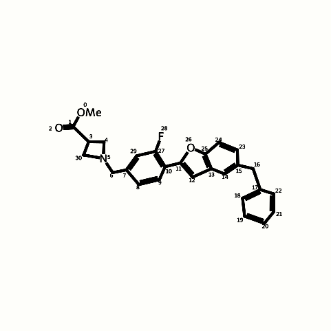 COC(=O)C1CN(Cc2ccc(-c3cc4cc(Cc5ccccc5)ccc4o3)c(F)c2)C1